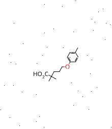 Cc1ccc(OCCCC(C)(C)C(=O)O)cc1